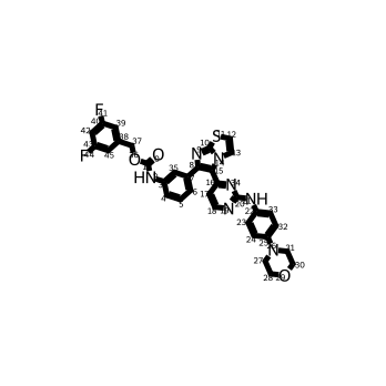 O=C(Nc1cccc(-c2nc3sccn3c2-c2ccnc(Nc3ccc(N4CCOCC4)cc3)n2)c1)OCc1cc(F)cc(F)c1